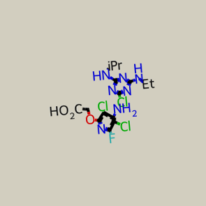 CCNc1nc(Cl)nc(NC(C)C)n1.Nc1c(Cl)c(F)nc(OCC(=O)O)c1Cl